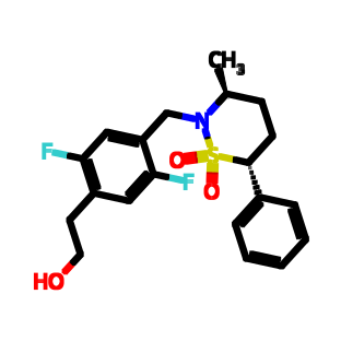 C[C@H]1CC[C@H](c2ccccc2)S(=O)(=O)N1Cc1cc(F)c(CCO)cc1F